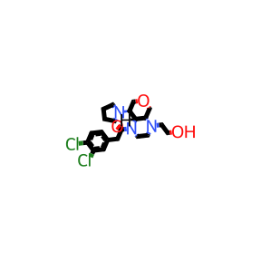 O=C(Cc1ccc(Cl)c(Cl)c1)N1CCN(CCO)C2COC[C@H](N3CCCC3)[C@H]21